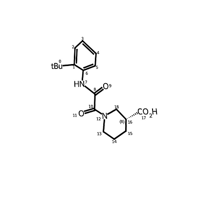 CC(C)(C)c1ccccc1NC(=O)C(=O)N1CCC[C@@H](C(=O)O)C1